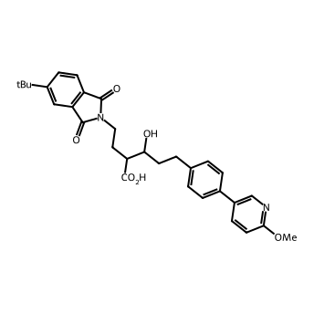 COc1ccc(-c2ccc(CCC(O)C(CCN3C(=O)c4ccc(C(C)(C)C)cc4C3=O)C(=O)O)cc2)cn1